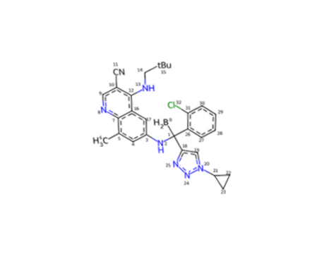 BC(Nc1cc(C)c2ncc(C#N)c(NCC(C)(C)C)c2c1)(c1cn(C2CC2)nn1)c1ccccc1Cl